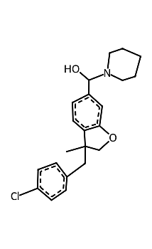 CC1(Cc2ccc(Cl)cc2)COc2cc(C(O)N3CCCCC3)ccc21